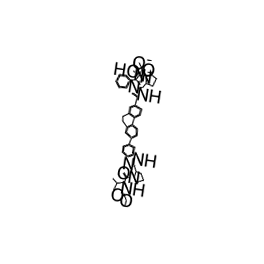 COC(=O)NC(C(=O)N1CCCC1c1nc2ccc(-c3ccc4c(c3)CCc3cc(-c5cnc(C6CCCN6[N+](O)(C(=O)[O-])C(C)c6ccccc6)[nH]5)ccc3-4)cc2[nH]1)C(C)C